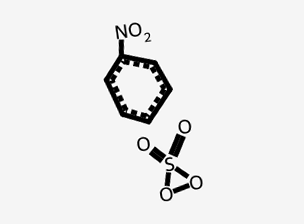 O=S1(=O)OO1.O=[N+]([O-])c1ccccc1